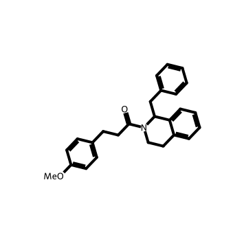 COc1ccc(CCC(=O)N2CCc3ccccc3C2Cc2ccccc2)cc1